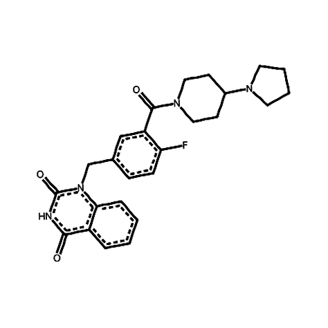 O=C(c1cc(Cn2c(=O)[nH]c(=O)c3ccccc32)ccc1F)N1CCC(N2CCCC2)CC1